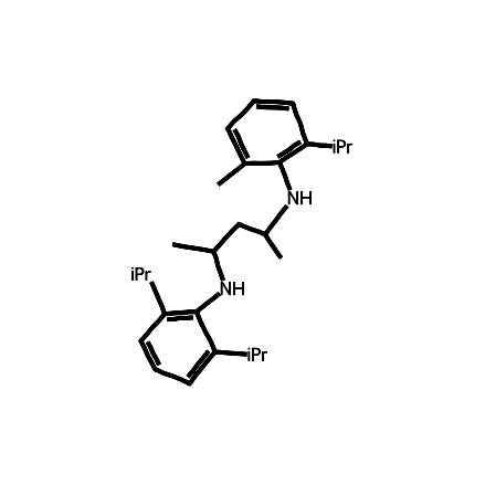 Cc1cccc(C(C)C)c1NC(C)CC(C)Nc1c(C(C)C)cccc1C(C)C